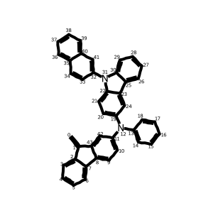 C=C1c2ccccc2-c2ccc(N(c3ccccc3)c3ccc4c(c3)c3ccccc3n4-c3ccc4ccccc4c3)cc21